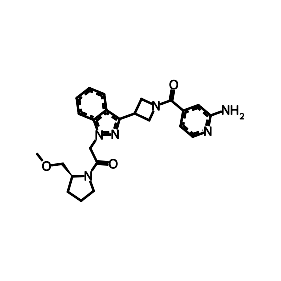 COC[C@@H]1CCCN1C(=O)Cn1nc(C2CN(C(=O)c3ccnc(N)c3)C2)c2ccccc21